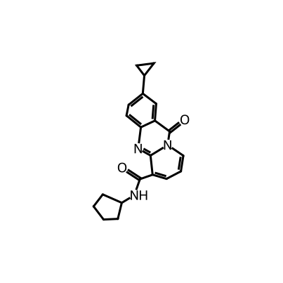 O=C(NC1CCCC1)c1cccn2c(=O)c3cc(C4CC4)ccc3nc12